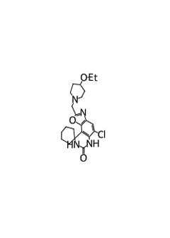 CCOC1CCN(Cc2nc3cc(Cl)c4c(c3o2)C2(CCCCC2)NC(=O)N4)CC1